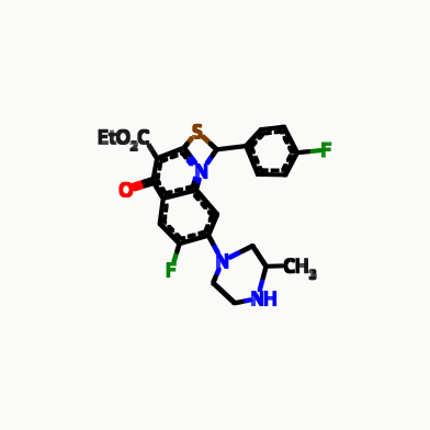 CCOC(=O)c1c2n(c3cc(N4CCNC(C)C4)c(F)cc3c1=O)C(c1ccc(F)cc1)S2